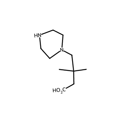 CC(C)(CC(=O)O)CN1CCNCC1